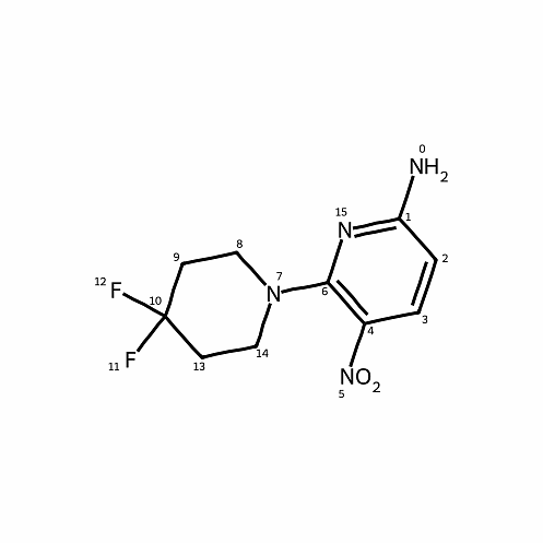 Nc1ccc([N+](=O)[O-])c(N2CCC(F)(F)CC2)n1